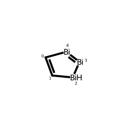 [C]1=[CH][BiH][Bi]=[Bi]1